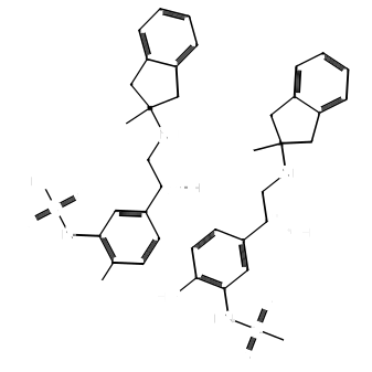 CC1(NC[C@H](O)c2ccc(O)c(NS(C)(=O)=O)c2)Cc2ccccc2C1.CCS(=O)(=O)Nc1cc([C@@H](O)CNC2(C)Cc3ccccc3C2)ccc1O